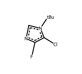 CC(C)(C)n1cnc(F)c1Cl